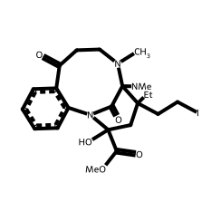 CCC1(CCI)CC(O)(C(=O)OC)N2C(=O)C1(NC)N(C)CCC(=O)c1ccccc12